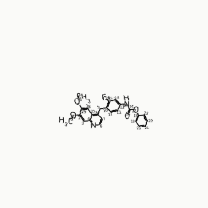 COc1cc2nccc(Cc3ccc(NC(=O)Oc4ccccc4)cc3F)c2cc1OC